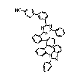 N#Cc1ccc(-c2cccc(-c3nc(-c4ccccc4)nc(-c4ccccc4-c4ccccc4-c4ccccc4-n4c(-c5ccccc5)nc5ccccc54)n3)c2)cc1